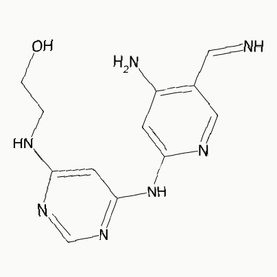 N=Cc1cnc(Nc2cc(NCCO)ncn2)cc1N